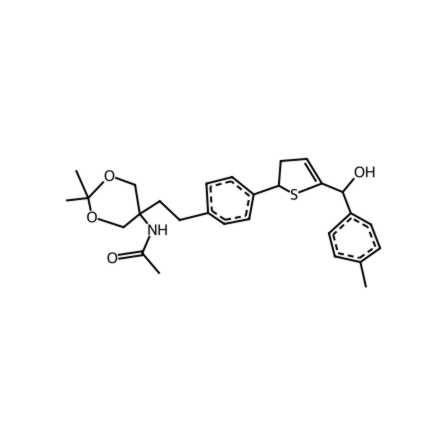 CC(=O)NC1(CCc2ccc(C3CC=C(C(O)c4ccc(C)cc4)S3)cc2)COC(C)(C)OC1